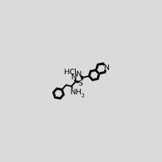 Cl.NC(Cc1ccccc1)c1nnc(-c2ccc3cnccc3c2)s1